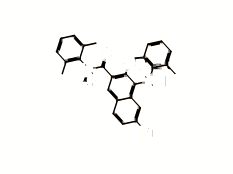 CCOC(=O)c1c(C(=O)N(C(C)=O)c2c(C)cccc2C)cc2ccc(Br)cc2c1Nc1c(C)cccc1C